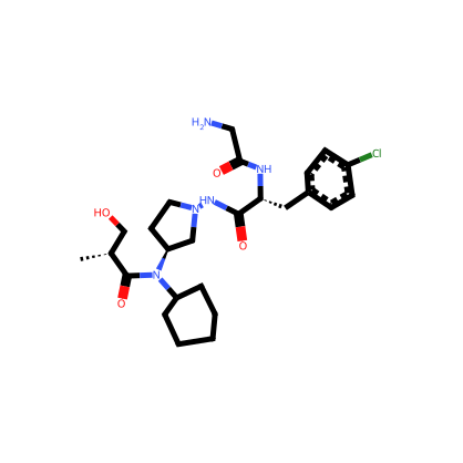 C[C@H](CO)C(=O)N(C1CCCCC1)[C@H]1CCN(NC(=O)[C@@H](Cc2ccc(Cl)cc2)NC(=O)CN)C1